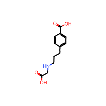 O=C(O)CNCCCc1ccc(C(=O)O)cc1